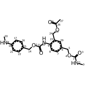 CNC(=O)OCc1ccc(NC(=O)OCc2ccc(NC)cc2)c(COC(C)=O)c1